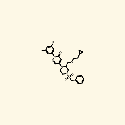 O=c1cc(N2CCN(S(=O)(=O)Cc3ccccc3)CC2COCCC2CC2)cnn1-c1cc(F)cc(F)c1